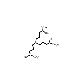 CC(C)(C)N(CCCN(CCCN(C(=O)O)C(C)(C)C)CCCN(C(=O)O)C(C)(C)C)C(=O)O